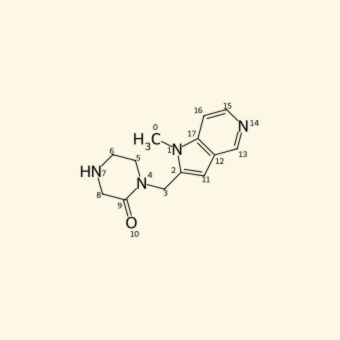 Cn1c(CN2CCNCC2=O)cc2cnccc21